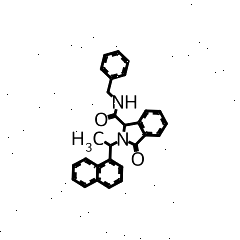 CC(c1cccc2ccccc12)N1C(=O)c2ccccc2C1C(=O)NCc1ccccc1